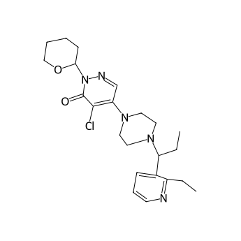 CCc1ncccc1C(CC)N1CCN(c2cnn(C3CCCCO3)c(=O)c2Cl)CC1